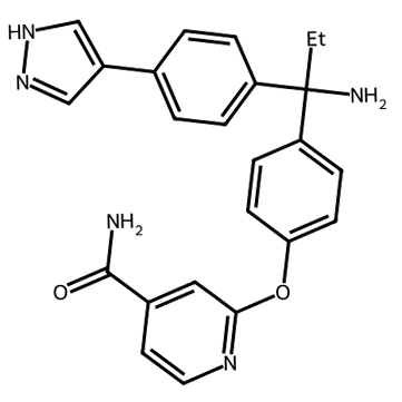 CCC(N)(c1ccc(Oc2cc(C(N)=O)ccn2)cc1)c1ccc(-c2cn[nH]c2)cc1